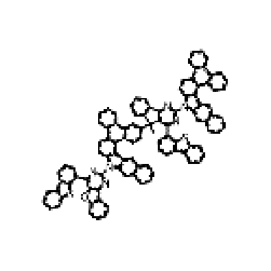 CC1(c2ccc3c(c2)c2ccccc2c2ccc4c(c5cc6ccccc6cc5n4-c4nc(-c5cccc6c5sc5ccccc56)c5oc6ccccc6c5n4)c23)c2ccccc2-c2nc(-n3c4cc5ccccc5cc4c4c5c6ccccc6c6ccccc6c5ccc43)nc(-c3cccc4c3sc3ccccc34)c21